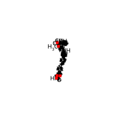 CC(=O)C1=C(C)c2cnc(Nc3ccc(N4CCN(CCN5CCN(c6ccc7c(c6)CNC7=O)CC5)CC4)cn3)nc2N(C2CCCC2)C1O